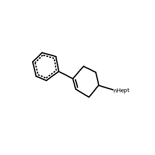 CCCCCCCC1CC=C(c2ccccc2)CC1